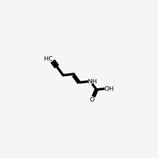 C#CCC=CNC(=O)O